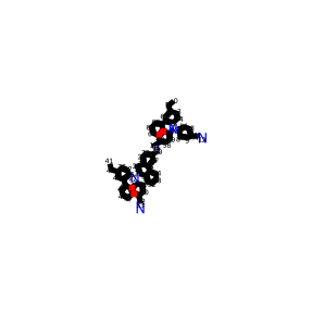 CCc1ccc(N(c2ccc(C#N)cc2)c2ccc(/C=C/c3ccc4cc(N(c5ccc(C#N)cc5)c5ccc(CC)cc5-c5ccccc5)c5ccccc5c4c3)cc2)c(-c2ccccc2)c1